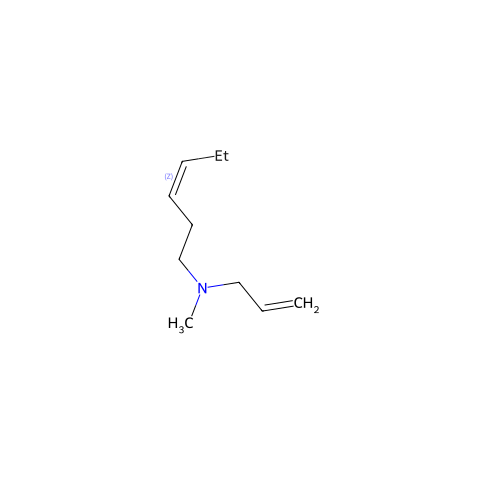 C=CCN(C)CC/C=C\CC